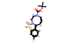 CC(C)(C)OC(=O)N1CCCC(c2ccc(Cl)cc2)N(S(C)(=O)=O)CC1